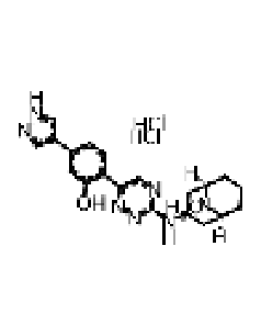 CN1[C@@H]2CCC[C@H]1CC(Nc1ncc(-c3ccc(-c4cn[nH]c4)cc3O)nn1)C2.Cl.Cl